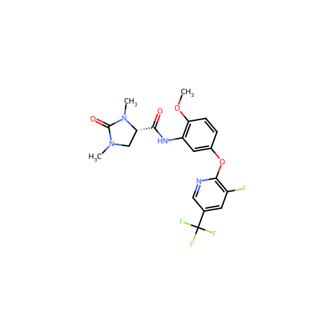 COc1ccc(Oc2ncc(C(F)(F)F)cc2F)cc1NC(=O)[C@@H]1CN(C)C(=O)N1C